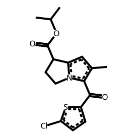 Cc1cc2n(c1C(=O)c1ccc(Cl)s1)CCC2C(=O)OC(C)C